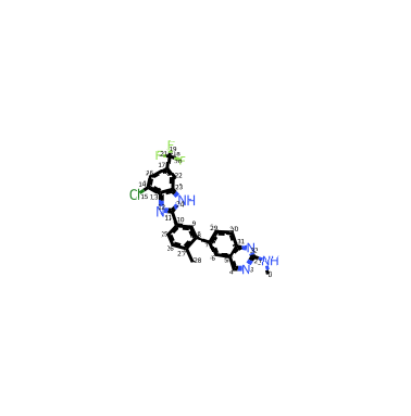 CNc1ncc2cc(-c3cc(-c4nc5c(Cl)cc(C(F)(F)F)cc5[nH]4)ccc3C)ccc2n1